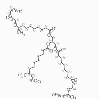 CCCCCCCCOC(C)CCCCCCCC(=O)OC(COC(=O)CCCCCCCC(C)OCC1OC1CCCCC)COC(=O)CCCCCCCC1OC1COC(C)CCCCC